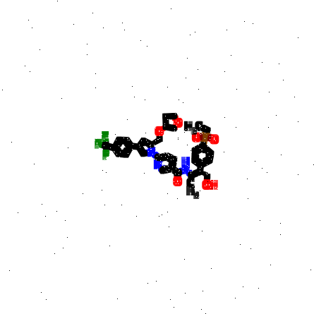 CCS(=O)(=O)c1ccc([C@H](CO)C(C)NC(=O)c2ccc(N3CC(c4ccc(C(F)(F)F)cc4)C[C@H]3CO[C@H]3CCOC3)nc2)cc1